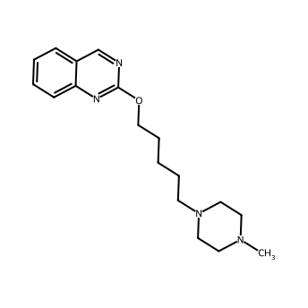 CN1CCN(CCCCCOc2ncc3ccccc3n2)CC1